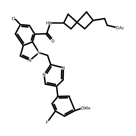 COc1cc(F)cc(-c2cnc(Cn3ncc4cc(Cl)cc(C(=O)NC5CC6(CC(CCOC(C)=O)C6)C5)c43)nc2)c1